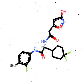 CC(C)(C)c1ccc(NC(=O)[C@H](NC(=O)Cc2cc(O)no2)C2CCC(F)(F)CC2)cc1F